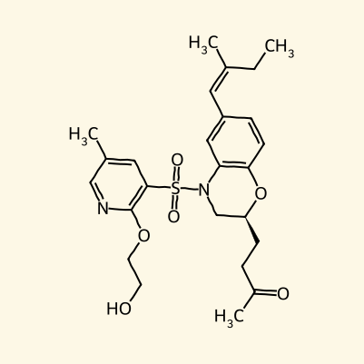 CC/C(C)=C\c1ccc2c(c1)N(S(=O)(=O)c1cc(C)cnc1OCCO)C[C@H](CCC(C)=O)O2